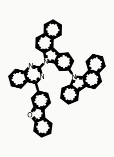 c1ccc2c(c1)ccc1c2c2ccc(-n3c4ccccc4c4ccc5ccccc5c43)cc2n1-c1nc(-c2ccc3c(c2)oc2ccccc23)c2ccccc2n1